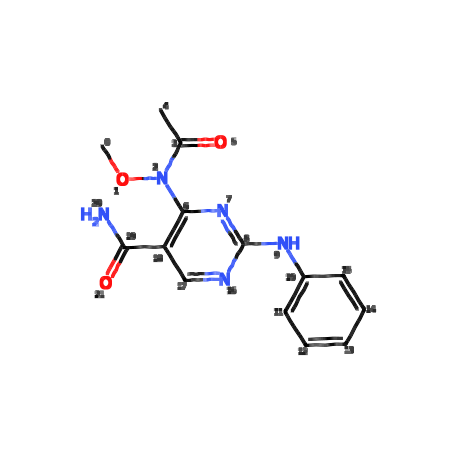 CON(C(C)=O)c1nc(Nc2ccccc2)ncc1C(N)=O